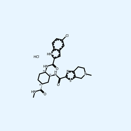 CNC(=O)[C@@H]1CC[C@@H](NC(=O)c2cc3cc(Cl)ccc3[nH]2)[C@@H](NC(=O)c2nc3c(s2)CN(C)CC3)C1.Cl